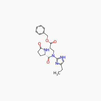 CCc1c[nH]c(N(CCC(=O)OCc2ccccc2)C(=O)[C@@H]2CCC(=O)N2)n1